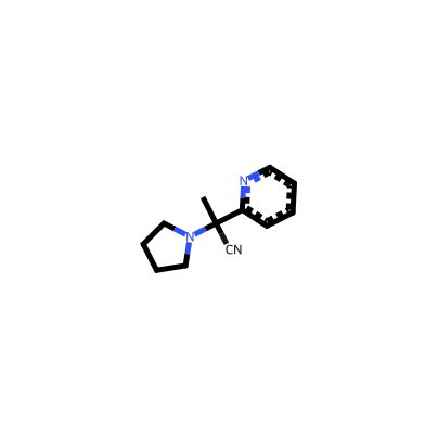 CC(C#N)(c1ccccn1)N1CCCC1